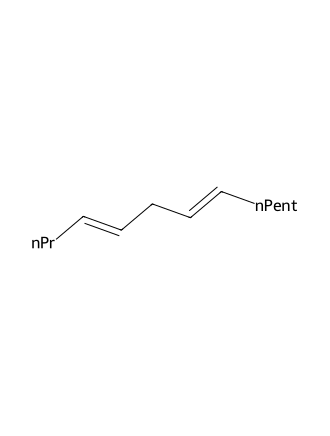 [CH2]CCC=CCC=CCCCC[CH2]